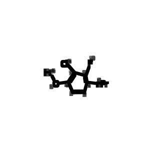 CCCc1ccc(OCC)c(Cl)c1F